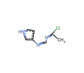 C/C(Cl)=N\C=N/c1cc[nH]c1